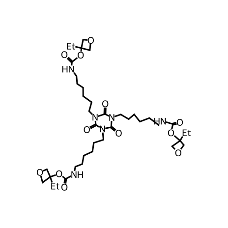 CCC1(OC(=O)NCCCCCCn2c(=O)n(CCCCCCNC(=O)OC3(CC)COC3)c(=O)n(CCCCCCNC(=O)OC3(CC)COC3)c2=O)COC1